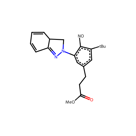 COC(=O)CCc1cc(N2CC3C=CC=CC3=N2)c(N=O)c(C(C)(C)C)c1